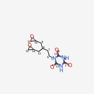 O=c1[nH]c(=O)n(CCC(CC2CO2)CC2CO2)c(=O)[nH]1